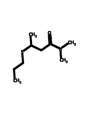 CCCSC(C)CC(=O)N(C)C